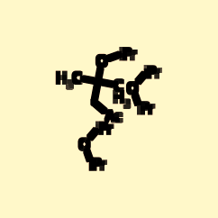 CC(=O)CC(C)(C)OC(C)C.CC(C)OC(C)C.CC(C)OC(C)C